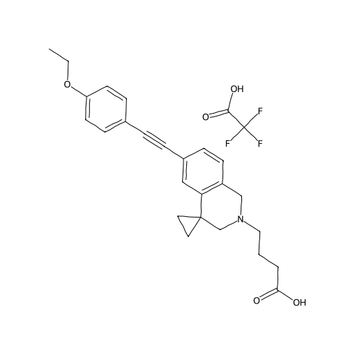 CCOc1ccc(C#Cc2ccc3c(c2)C2(CC2)CN(CCCC(=O)O)C3)cc1.O=C(O)C(F)(F)F